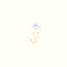 CS(=O)(=O)c1ccccc1S(=O)(=O)Oc1ccc2[nH]nc(O)c2c1